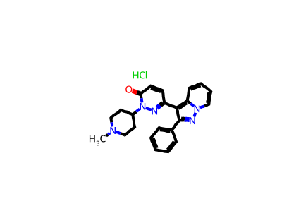 CN1CCC(n2nc(-c3c(-c4ccccc4)nn4ccccc34)ccc2=O)CC1.Cl